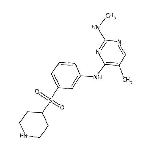 CNc1ncc(C)c(Nc2cccc(S(=O)(=O)C3CCNCC3)c2)n1